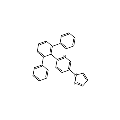 c1ccc(-c2cccc(-c3ccccc3)c2-c2ccc(-n3cccn3)cn2)cc1